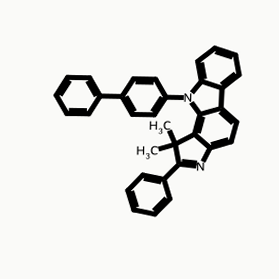 CC1(C)C(c2ccccc2)=Nc2ccc3c4ccccc4n(-c4ccc(-c5ccccc5)cc4)c3c21